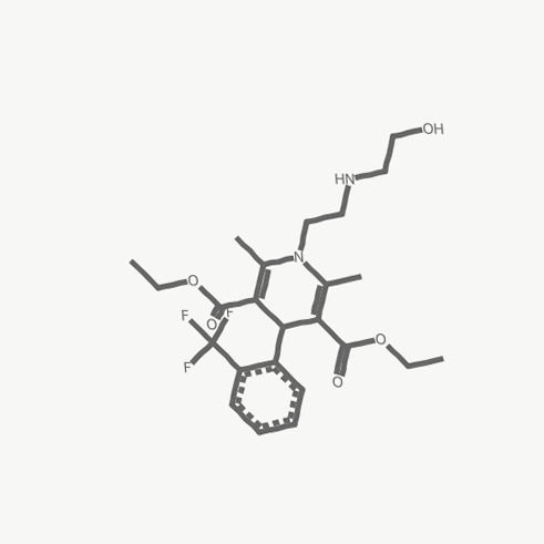 CCOC(=O)C1=C(C)N(CCNCCO)C(C)=C(C(=O)OCC)C1c1ccccc1C(F)(F)F